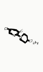 Cl.O=C(O)C1CCN(c2ccc(Cl)cn2)CC1